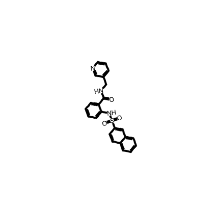 O=C(NCc1cccnc1)c1ccccc1NS(=O)(=O)c1ccc2ccccc2c1